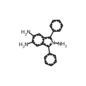 Nc1cc2c(-c3ccccc3)n(N)c(-c3ccccc3)c2cc1N